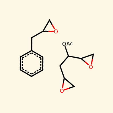 CC(=O)OC(CC1CO1)C1CO1.c1ccc(CC2CO2)cc1